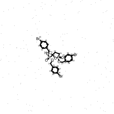 CC1(P(=O)(OCc2ccc(Br)cc2)OCc2ccc(Br)cc2)CCP(=O)(OCc2ccc(Br)cc2)O1